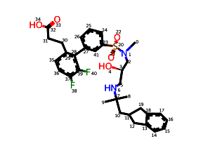 CN(C[C@H](O)CNC(C)(C)CC1Cc2ccccc2C1)S(=O)(=O)c1cccc(-c2c(CCC(=O)O)ccc(F)c2F)c1